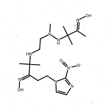 C/C(=N\O)C(C)(C)NN(C)CCNC(C)(C)/C(CCn1ccnc1[N+](=O)[O-])=N/O